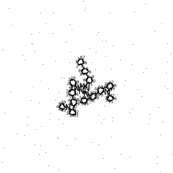 c1ccc(-c2ccc(-c3cccc(-c4nc(-n5c6ccccc6c6ccc(-c7ccc8c9ccccc9n(-c9ccccc9)c8c7)cc65)nc(-n5c6ccccc6c6ccc(-c7ccc8c9ccccc9n(-c9ccccc9)c8c7)cc65)n4)c3)cc2)cc1